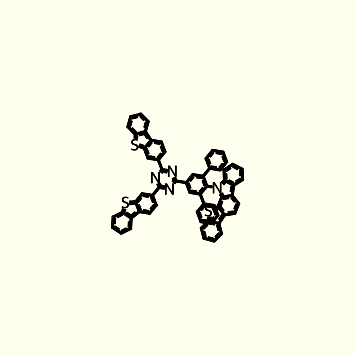 c1ccc(-c2cc(-c3nc(-c4ccc5c(c4)sc4ccccc45)nc(-c4ccc5c(c4)sc4ccccc45)n3)cc(-c3ccccc3)c2-n2c3ccccc3c3ccc4c5ccccc5sc4c32)cc1